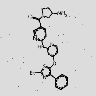 CCc1nc(-c2ccccc2)c(Oc2ccnc(Nc3ccc(C(=O)N4CCC(N)C4)cn3)c2)s1